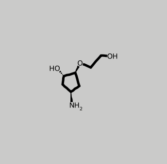 N[C@@H]1C[C@H](OCCO)[C@@H](O)C1